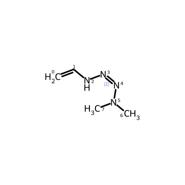 C=CN/N=N\N(C)C